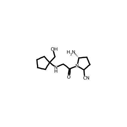 N#CC1CC[C@@H](N)N1C(=O)CNC1(CO)CCCC1